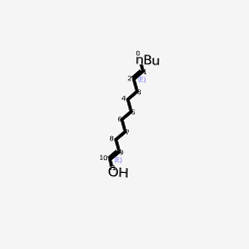 CCCC/C=C/CCCCCC/C=C/O